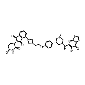 CN1C[C@H](Nc2nc3sccn3c(=O)c2Br)C[C@H](c2ccc(OCCC3CN(c4cccc5c4C(=O)N(C4CCC(=O)NC4=O)C5=O)C3)cc2)C1